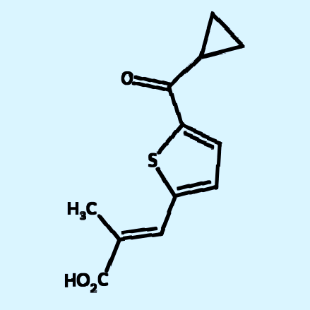 CC(=Cc1ccc(C(=O)C2CC2)s1)C(=O)O